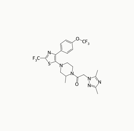 Cc1nc(C)n(CC(=O)N2CCN(c3sc(C(F)(F)F)nc3-c3ccc(OC(F)(F)F)cc3)CC2C)n1